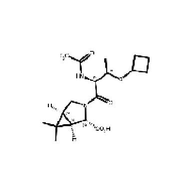 C[C@@H](OC1CCC1)[C@H](NC(=O)C(F)(F)F)C(=O)N1C[C@H]2[C@@H]([C@H]1C(=O)O)C2(C)C